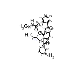 C/C=C/Cn1c(N2CCCC(N)C2)nc2ccn(CC(=O)c3ccccc3OCC(=O)NCC)c(=O)c21